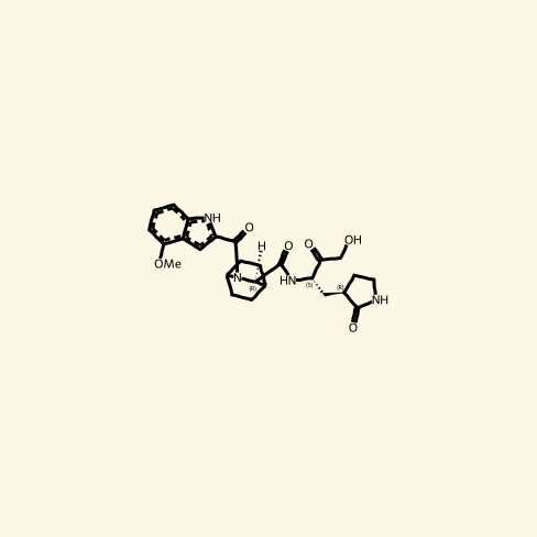 COc1cccc2[nH]c(C(=O)N3C4CCC(CC4)[C@@H]3C(=O)N[C@@H](C[C@H]3CCNC3=O)C(=O)CO)cc12